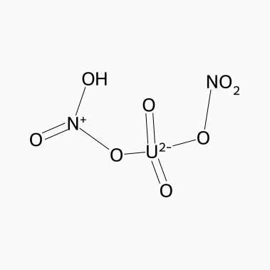 O=[N+]([O-])[O][U-2](=[O])(=[O])[O][N+](=O)O